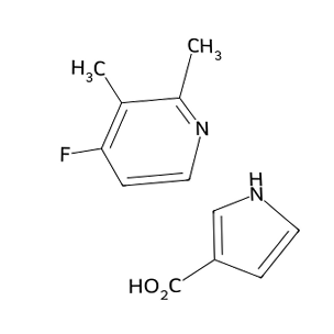 Cc1nccc(F)c1C.O=C(O)c1cc[nH]c1